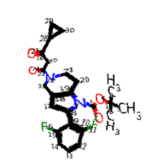 CC(C)(C)OC(=O)n1c(-c2c(F)cccc2F)cc2c1CCN(C(=O)CC(=O)C1CC1)C2